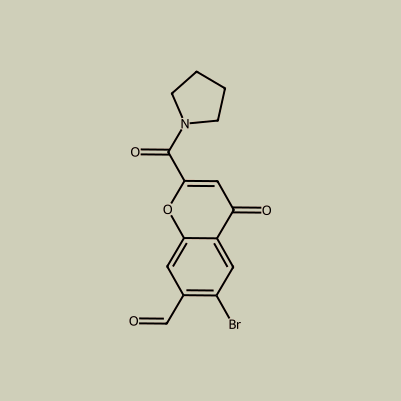 O=Cc1cc2oc(C(=O)N3CCCC3)cc(=O)c2cc1Br